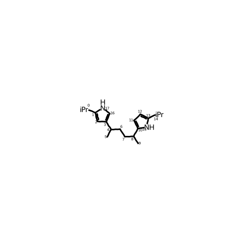 CC(C)c1cc(C(C)CCC(C)c2ccc(C(C)C)[nH]2)c[nH]1